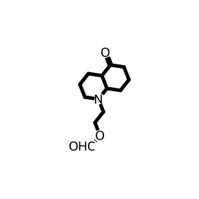 O=COCCN1CCCC2C(=O)CCCC21